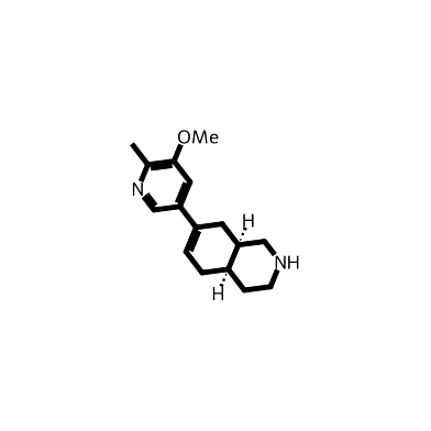 COc1cc(C2=CC[C@@H]3CCNC[C@@H]3C2)cnc1C